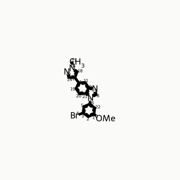 COc1cc(Br)cc(-n2cnc3cc(-c4cnn(C)c4)ccc32)c1